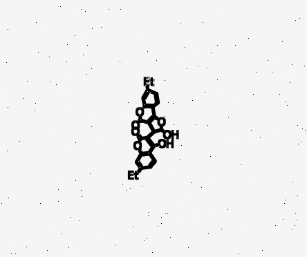 CCc1ccc2c(O)c(C3c4c(c5ccc(CC)cc5oc4=O)OC3O)c(=O)oc2c1